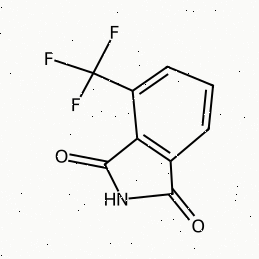 O=C1NC(=O)c2c1cccc2C(F)(F)F